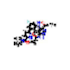 CNC(=O)c1nnc(NC(=O)C2CC2)cc1Nc1cc(F)cc(-c2ccc(C(=O)N(C)C)nn2)c1OC